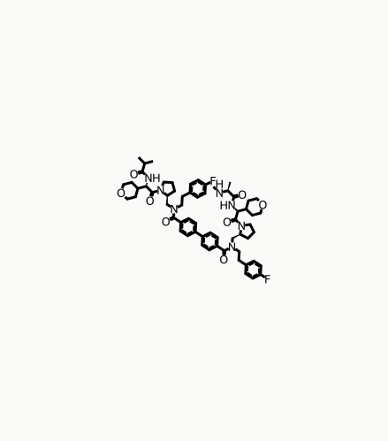 CN[C@@H](C)C(=O)N[C@H](C(=O)N1CCC[C@H]1CN(CCc1ccc(F)cc1)C(=O)c1ccc(-c2ccc(C(=O)N(CCc3ccc(F)cc3)C[C@@H]3CCCN3C(=O)[C@@H](NC(=O)C(C)C)C3CCOCC3)cc2)cc1)C1CCOCC1